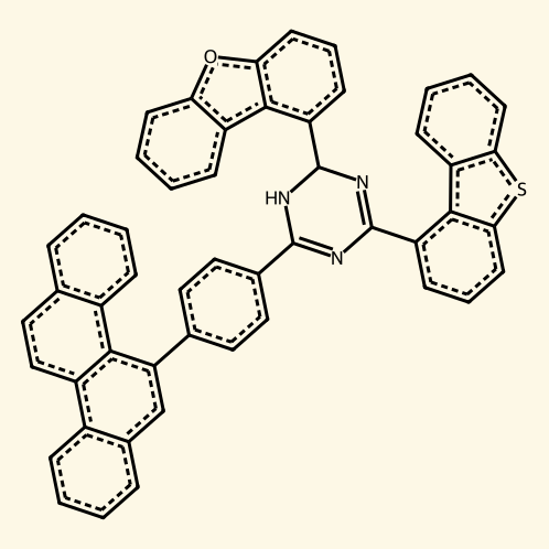 c1ccc2c(c1)cc(-c1ccc(C3=NC(c4cccc5sc6ccccc6c45)=NC(c4cccc5oc6ccccc6c45)N3)cc1)c1c3ccccc3ccc21